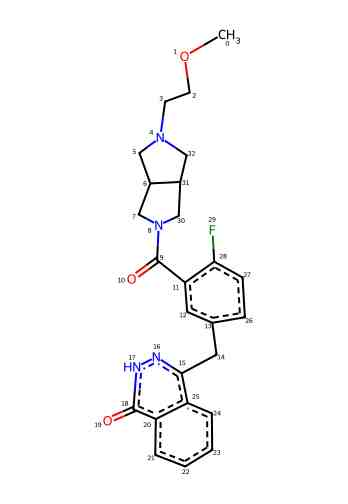 COCCN1CC2CN(C(=O)c3cc(Cc4n[nH]c(=O)c5ccccc45)ccc3F)CC2C1